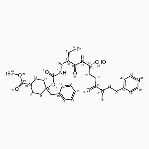 CC(C)C[C@H](SNC(=O)OC1(Cc2ccccc2)CCN(C(=O)OC(C)(C)C)CC1)C(=O)N[C@H](C=O)CCC(=O)N(C)CCc1ccncc1